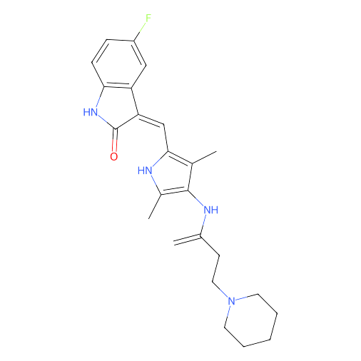 C=C(CCN1CCCCC1)Nc1c(C)[nH]c(/C=C2\C(=O)Nc3ccc(F)cc32)c1C